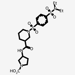 CCN(CC)S(=O)(=O)c1ccc(S(=O)(=O)N2CCCC(C(=O)NC3CCN(C(=O)O)C3)C2)cc1